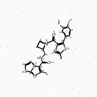 Cc1nc(C(=O)N2CCC2CNC(=O)c2c(C)nc3sccn23)c(-c2ccc(F)c(F)c2)s1